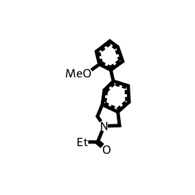 CCC(=O)N1Cc2ccc(-c3ccccc3OC)cc2C1